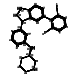 Fc1cccc(F)c1-c1ccc2c(c1)C(c1ccnc(N[C@@H]3CCCNC3)n1)NN2